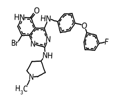 CN1CCC(Nc2nc(Nc3ccc(Oc4cccc(F)c4)cc3)c3c(=O)[nH]cc(Br)c3n2)CC1